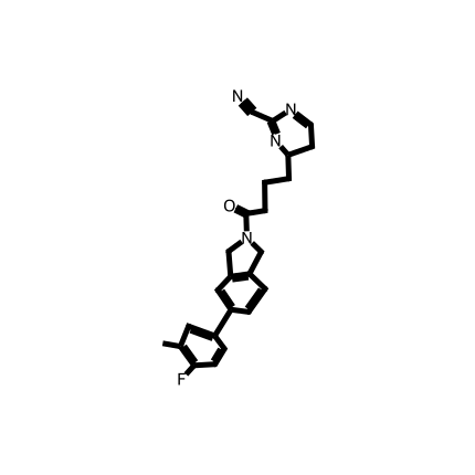 Cc1cc(-c2ccc3c(c2)CN(C(=O)CCCC2CC=NC(C#N)=N2)C3)ccc1F